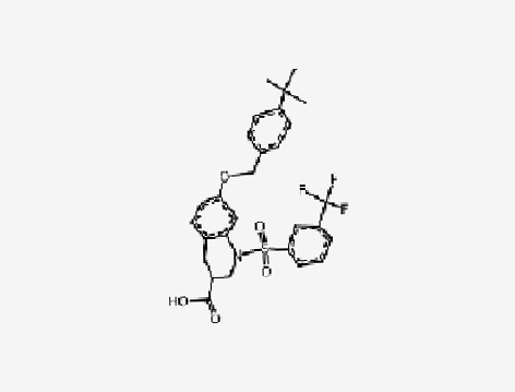 CC(C)(C)c1ccc(COc2ccc3c(c2)N(S(=O)(=O)c2cccc(C(F)(F)F)c2)CC(C(=O)O)C3)cc1